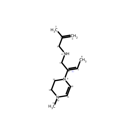 C=C(C)CNC/C(=C\C)N1C=CN(C)CC1